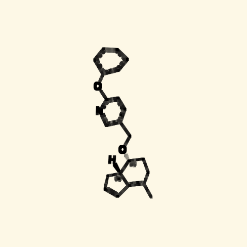 CC1=C2C=CC[C@@H]2[C@H](OCc2ccc(Oc3ccccc3)nc2)CC1